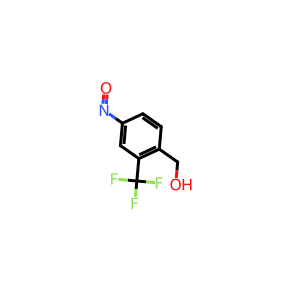 O=Nc1ccc(CO)c(C(F)(F)F)c1